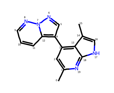 Cc1cc(-c2cnn3ncccc23)c2c(C)c[nH]c2n1